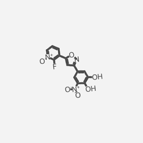 O=[N+]([O-])c1cc(-c2cc(-c3ccc[n+]([O-])c3F)on2)cc(O)c1O